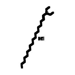 CCCCCCCCCCCCCCCCC=CN(CC)CC.Cl